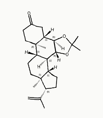 C=C(C)[C@H]1CC[C@H]2[C@@H]3[C@H]4OC(C)(C)O[C@@H]4[C@H]4CC(=O)CC[C@]4(C)[C@H]3CC[C@]12C